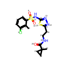 Cc1c(Cl)cccc1S(=O)(=O)Nc1nnc(CCNC(=O)C2(C)CC2)s1